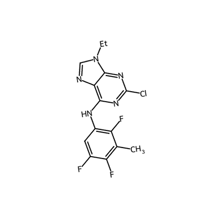 CCn1cnc2c(Nc3cc(F)c(F)c(C)c3F)nc(Cl)nc21